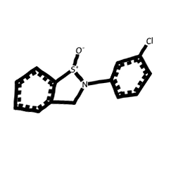 [O-][S+]1c2ccccc2CN1c1cccc(Cl)c1